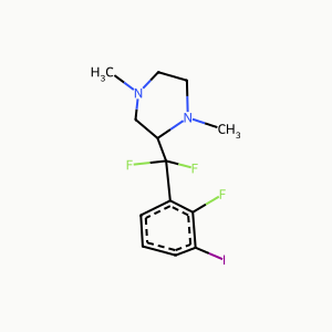 CN1CCN(C)C(C(F)(F)c2cccc(I)c2F)C1